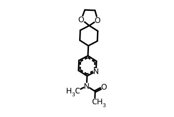 CC(=O)N(C)c1ccc(C2CCC3(CC2)OCCO3)cn1